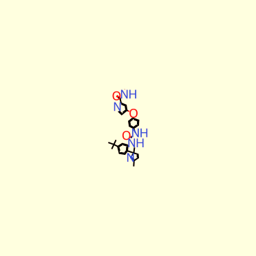 CNC(=O)c1cc(Oc2ccc(NC(=O)Nc3cc(C(C)(C)C)ccc3C3(C)C=CC(C)=N3)cc2)ccn1